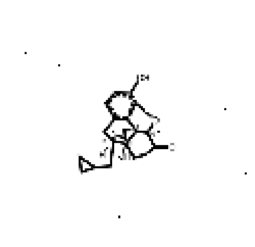 O=C1CC[C@]2(O)[C@H]3Cc4ccc(O)c5c4[C@]2(CCN3CC2CC2)[C@H]1O5